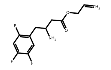 C=CCOC(=O)CC(N)Cc1cc(F)c(F)cc1F